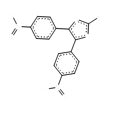 O=[N+]([O-])c1ccc(-c2nc(Cl)oc2-c2ccc([N+](=O)[O-])cc2)cc1